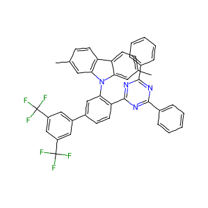 Cc1ccc2c3ccc(C)cc3n(-c3cc(-c4cc(C(F)(F)F)cc(C(F)(F)F)c4)ccc3-c3nc(-c4ccccc4)nc(-c4ccccc4)n3)c2c1